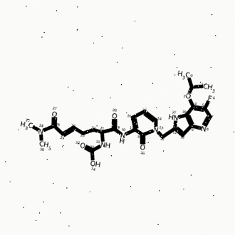 CC(C)Oc1c(F)cnc2cc(Cn3cccc(NC(=O)C(CC/C=C/C(=O)N(C)C)NC(=O)O)c3=O)[nH]c12